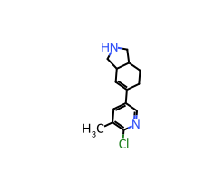 Cc1cc(C2=CC3CNCC3CC2)cnc1Cl